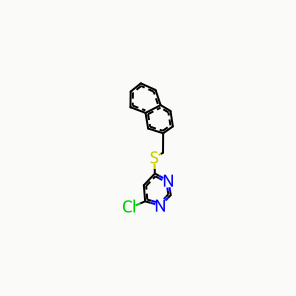 Clc1cc(SCc2ccc3ccccc3c2)ncn1